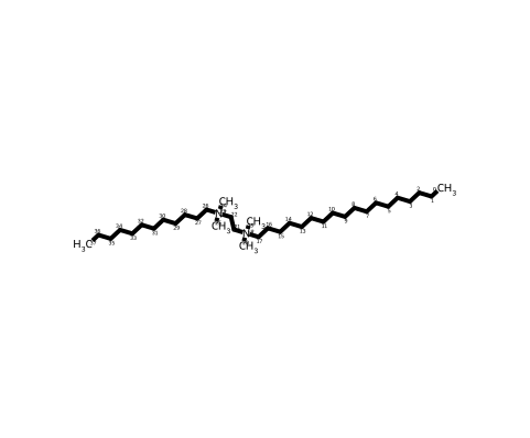 CCCCCCCCCCCCCCCCCC[N+](C)(C)CC[N+](C)(C)CCCCCCCCCCCC